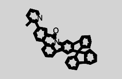 Cc1cccnc1-c1ccc2c(c1)c(=O)n1c3cc4c(cc3c3cccc2c31)C1(c2ccccc2-c2ccccc21)c1ccccc1-4